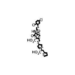 O=C(CSc1cc(Cl)ccc1Cl)N[C@H]1C(=O)N2C(C(=O)O)=C(CSc3cc[n+]([C@@H](Cc4cccs4)C(=O)O)cc3)CS[C@H]12